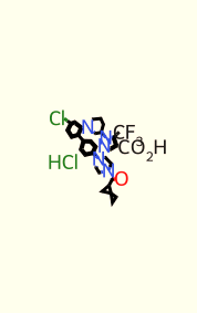 Cl.O=C(O)c1cnn(C2CCCN(c3cc(Cl)ccc3-c3ccc(N4CCN(C(=O)C5CC56CC6)CC4)cc3)C2)c1C(F)(F)F